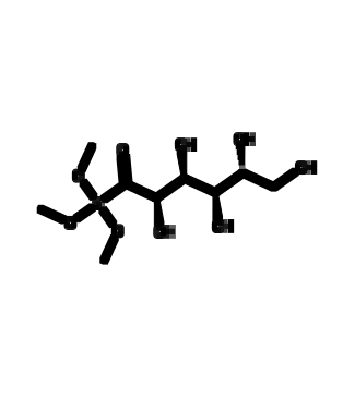 CO[Si](OC)(OC)C(=O)[C@H](O)[C@@H](O)[C@H](O)[C@H](O)CO